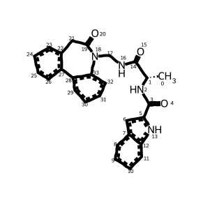 C[C@H](NC(=O)c1cc2ccccc2[nH]1)C(=O)NCN1C(=O)Cc2ccccc2-c2ccccc21